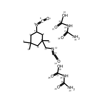 CC1(C)CC(N=C=O)CC(C)(CN=C=O)C1.NC(=O)NC(=O)O.NC(=O)NC(=O)O